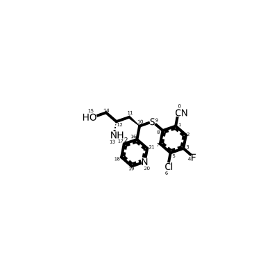 N#Cc1cc(F)c(Cl)cc1S[C@H](C[C@H](N)CO)c1cccnc1